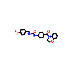 COc1ccc(CNC(=O)NC2CCC(C(=O)N3CCOc4ccccc43)CC2)cc1